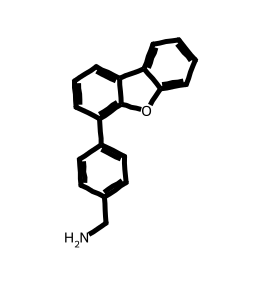 NCc1ccc(-c2cccc3c2oc2ccccc23)cc1